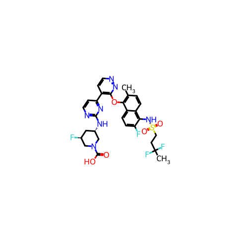 Cc1ccc2c(NS(=O)(=O)CCC(C)(F)F)c(F)ccc2c1Oc1nnccc1-c1ccnc(N[C@H]2C[C@H](F)CN(C(=O)O)C2)n1